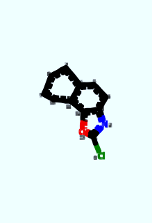 Clc1nc2ccc3ccccc3c2o1